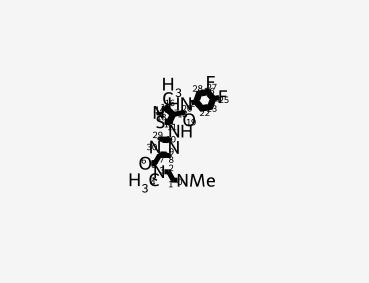 CNCCN(C)C(=O)c1cnc(Nc2snc(C)c2C(=O)Nc2ccc(F)c(F)c2)cn1